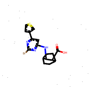 O=C(O)C1C2CCC(CC2)C1Nc1cc(-c2ccsc2)nc(Br)n1